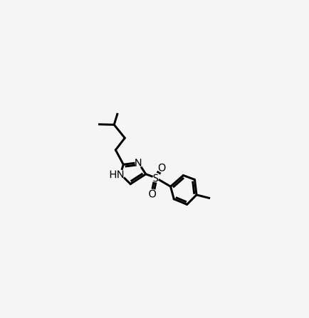 Cc1ccc(S(=O)(=O)c2c[nH]c(CCC(C)C)n2)cc1